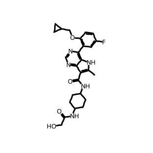 Cc1[nH]c2c(-c3cc(F)ccc3OCC3CC3)ncnc2c1C(=O)NC1CCC(NC(=O)CO)CC1